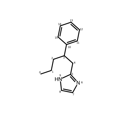 CCCC(Cc1ncc[nH]1)c1ccccc1